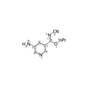 CCCO/C(=N\C#N)c1cncc(N)c1